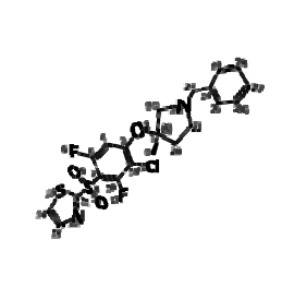 C[C@]1(Oc2cc(F)c(S(=O)(=O)c3n[c]cs3)c(F)c2Cl)CCN(Cc2ccccc2)C1